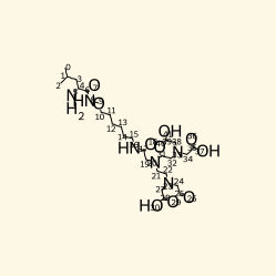 CC(C)C[C@@H](N)C(=O)NOCCCCCCNC(=O)CN(CCN(CC=O)CC(=O)O)CCN(CC(=O)O)CC(=O)O